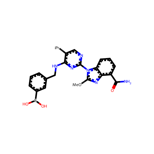 COc1nc2c(C(N)=O)cccc2n1-c1ncc(C(C)C)c(NCc2cccc(B(O)O)c2)n1